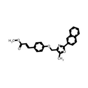 COC(=O)/C=C/c1ccc(OCc2nc(-c3ccc4ccccc4c3)oc2C)cc1